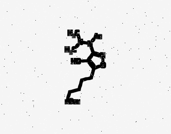 CCCCCCCCCCCCCCc1onc(N(C(C)=O)N(C)C)c1O